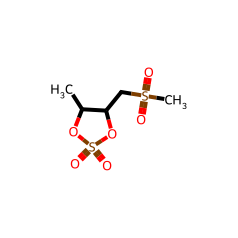 CC1OS(=O)(=O)OC1CS(C)(=O)=O